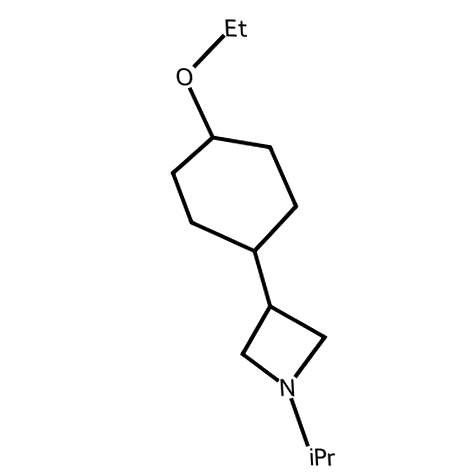 CCOC1CCC(C2CN(C(C)C)C2)CC1